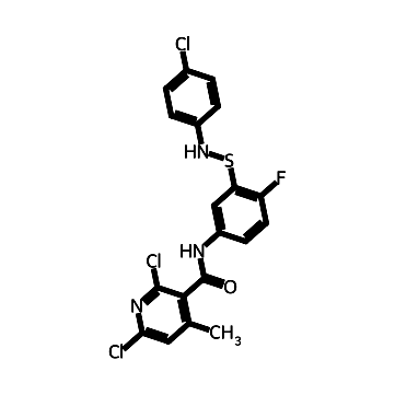 Cc1cc(Cl)nc(Cl)c1C(=O)Nc1ccc(F)c(SNc2ccc(Cl)cc2)c1